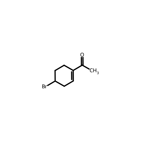 CC(=O)C1=CCC(Br)CC1